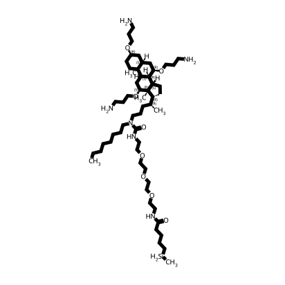 CCCCCCCCN(CCC[C@@H](C)[C@H]1CC[C@H]2[C@@H]3[C@H](OCCCN)C[C@@H]4C[C@H](OCCCN)CC[C@]4(C)[C@H]3C[C@H](OCCCN)[C@]12C)C(=O)NCCOCCOCCOCCNC(=O)CCCC[SiH2]C